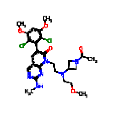 CNc1ncc2cc(-c3c(Cl)c(OC)cc(OC)c3Cl)c(=O)n(CCN(CCOC)C3CN(C(C)=O)C3)c2n1